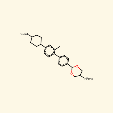 CCCCCC1CCC(c2ccc(-c3ccc(C4OCC(CCCCC)CO4)cc3)c(C)c2)CC1